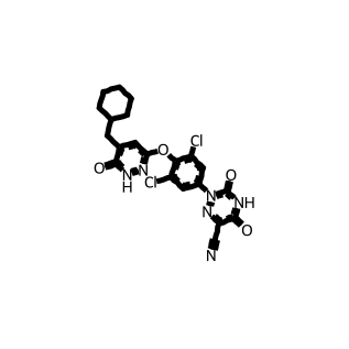 N#Cc1nn(-c2cc(Cl)c(Oc3cc(CC4CCCCC4)c(=O)[nH]n3)c(Cl)c2)c(=O)[nH]c1=O